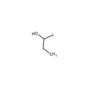 CCC(O)I